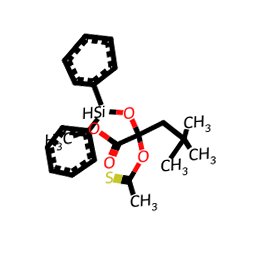 COC(=O)C(CC(C)(C)C)(OC(C)=S)O[SiH](c1ccccc1)c1ccccc1